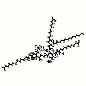 CCCCCCCCCCCCCCCC(=O)OC(CCCCCCCCCCCC(C)C)CC(=O)N[C@H]1C(OC(=O)CC(O)CCCCCCCCCC(C)C)[C@H](O)C(CO)O[C@H]1OCC1O[C@H](OP(=O)(O)O)C(NC(=O)CC(O)CCCCCCCCCCCC(C)C)[C@@H](O)[C@@H]1O